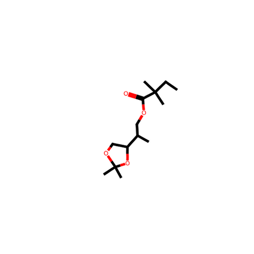 CCC(C)(C)C(=O)OCC(C)C1COC(C)(C)O1